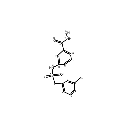 Cc1cccc(CS(=O)(=O)Nc2ccnc(C(=O)NO)c2)c1